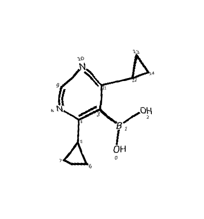 OB(O)c1c(C2CC2)ncnc1C1CC1